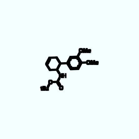 COc1ccc(C2CC=CCC2NC(=O)OC(C)(C)C)cc1OC